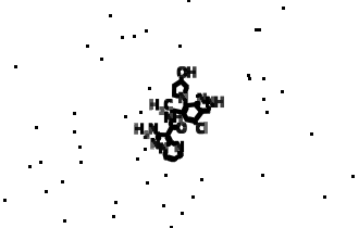 CC(NC(=O)c1c(N)nn2cccnc12)c1cc(Cl)c2c[nH]nc2c1N1CCC(O)C1